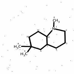 CN1CCCC2CC(C)(C)CCC21